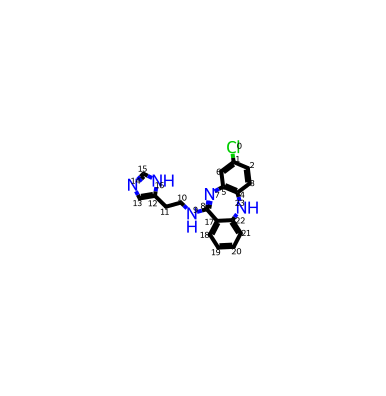 Clc1ccc2c(c1)N=C(NCCc1cnc[nH]1)c1ccccc1N2